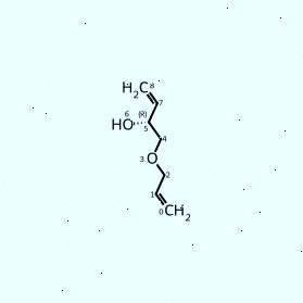 C=CCOC[C@H](O)C=C